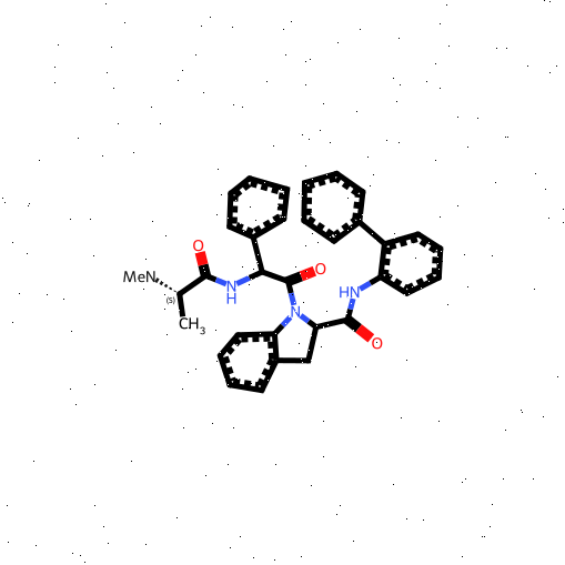 CN[C@@H](C)C(=O)NC(C(=O)N1c2ccccc2CC1C(=O)Nc1ccccc1-c1ccccc1)c1ccccc1